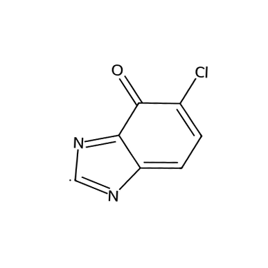 O=C1C(Cl)=CC=C2N=[C]N=C12